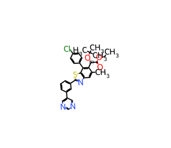 CCOC(=O)[C@@H](OC(C)(C)C)c1c(C)cc2nc(-c3cccc(-c4cncnc4)c3)sc2c1-c1ccc(Cl)cc1